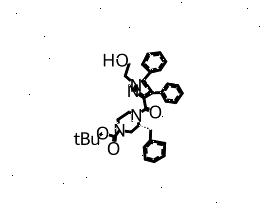 CC(C)(C)OC(=O)N1CCN(C(=O)c2nn(CCO)c(-c3ccccc3)c2-c2ccccc2)[C@H](Cc2ccccc2)C1